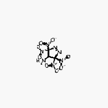 NC1C([N+](=O)[O-])([N+](=O)[O-])N=NC1([N+](=O)[O-])[N+](=O)[O-]